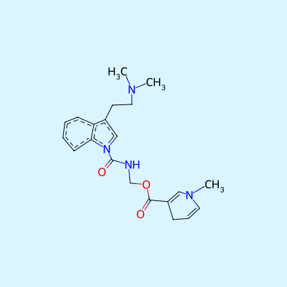 CN1C=CCC(C(=O)OCNC(=O)n2cc(CCN(C)C)c3ccccc32)=C1